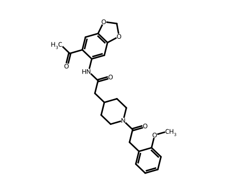 COc1ccccc1CC(=O)N1CCC(CC(=O)Nc2cc3c(cc2C(C)=O)OCO3)CC1